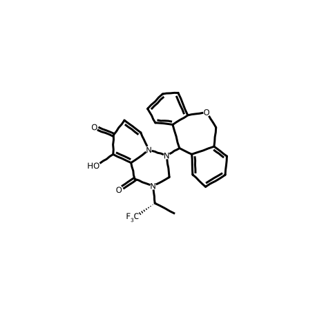 C[C@@H](N1CN(C2c3ccccc3COc3ccccc32)n2ccc(=O)c(O)c2C1=O)C(F)(F)F